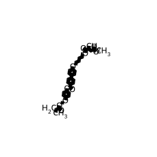 C=C(C)C(=O)OCCOc1ccc(OC(=O)c2ccc(-c3ccc(OCCCCCCOC(=O)C(=C)CC(=O)OC)cc3)cc2)cc1